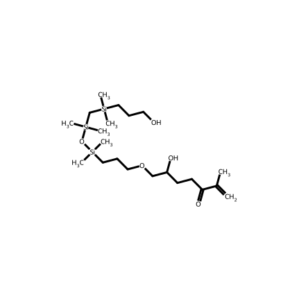 C=C(C)C(=O)CCC(O)COCCC[Si](C)(C)O[Si](C)(C)C[Si](C)(C)CCCO